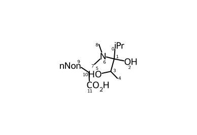 CC(C)C(O)(C(C)O)N(C)C.CCCCCCCCCCC(=O)O